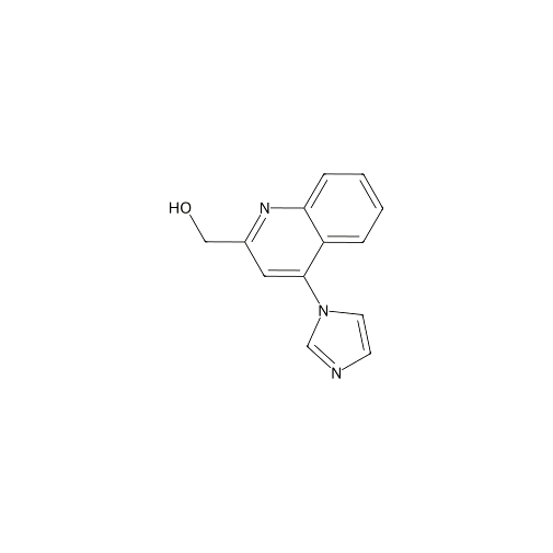 OCc1cc(-n2ccnc2)c2ccccc2n1